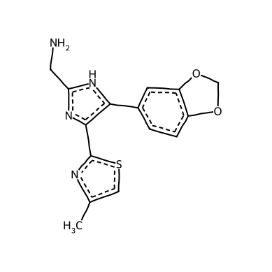 Cc1csc(-c2nc(CN)[nH]c2-c2ccc3c(c2)OCO3)n1